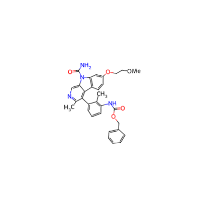 COCCOc1ccc2c3c(-c4cccc(NC(=O)OCc5ccccc5)c4C)c(C)ncc3n(C(N)=O)c2c1